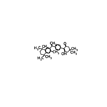 C=C(c1ccc(C2=C(O)CC(C)(C)CC2=O)cc1)c1cc2c(cc1C)C(C)(C)CCC2(C)C